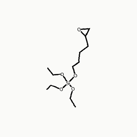 CCO[Si](OCC)(OCC)OCCCCC1CO1